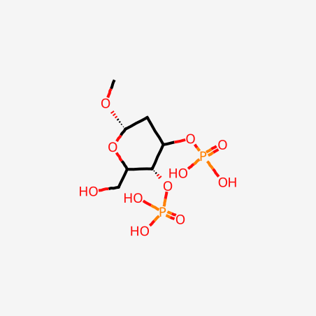 CO[C@@H]1CC(OP(=O)(O)O)[C@H](OP(=O)(O)O)C(CO)O1